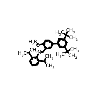 BOc1ccc(-c2cc(C(C)(C)C)cc(C(C)(C)C)c2)cc1/C=N/c1c(C(C)C)cccc1C(C)C